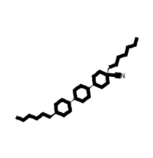 CCCCCCC[C@]1(C#N)CC[C@H](C2CCC([C@H]3CC[C@H](CCCCCC)CC3)CC2)CC1